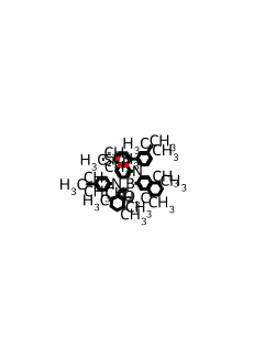 Cc1cc2c3c(c1)N(c1ccc(C(C)(C)C)cc1)c1c(oc4c1C(C)(C)CCC4(C)C)B3c1cc3c(cc1N2c1ccc(C(C)(C)C)cc1-c1ccc([Si](C)(C)C)cc1)C(C)(C)CCC3(C)C